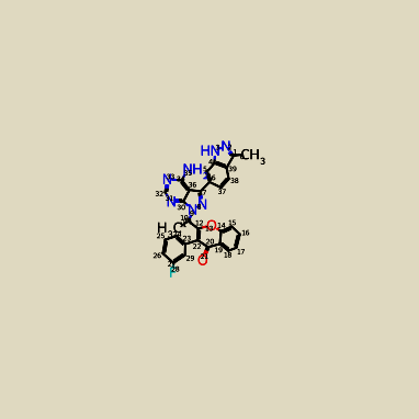 Cc1n[nH]c2cc(-c3nn([C@H](C)c4oc5ccccc5c(=O)c4-c4cccc(F)c4)c4ncnc(N)c34)ccc12